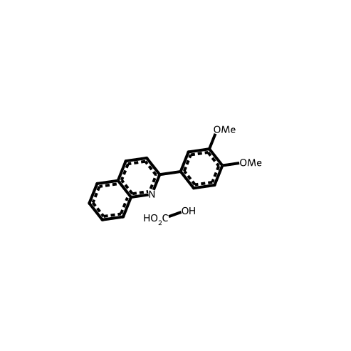 COc1ccc(-c2ccc3ccccc3n2)cc1OC.O=C(O)O